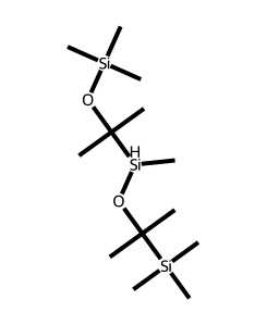 C[SiH](OC(C)(C)[Si](C)(C)C)C(C)(C)O[Si](C)(C)C